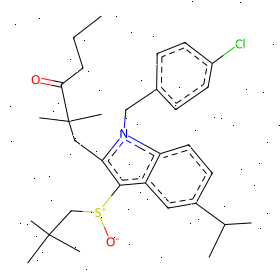 CCCC(=O)C(C)(C)Cc1c([S+]([O-])CC(C)(C)C)c2cc(C(C)C)ccc2n1Cc1ccc(Cl)cc1